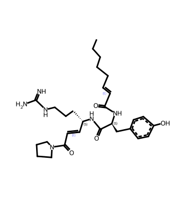 CCCCC/C=C/C(=O)N[C@@H](Cc1ccc(O)cc1)C(=O)N[C@H](/C=C/C(=O)N1CCCC1)CCCNC(=N)N